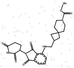 CC(C)(C)OC(=O)N1CCC2(CC1)CC(CNc1cccc3c1C(=O)N(C1CCC(=O)NC1=O)C3=O)C2